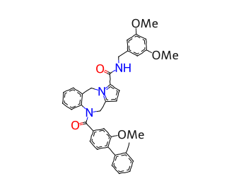 COc1cc(CNC(=O)c2ccc3n2Cc2ccccc2N(C(=O)c2ccc(-c4ccccc4C)c(OC)c2)C3)cc(OC)c1